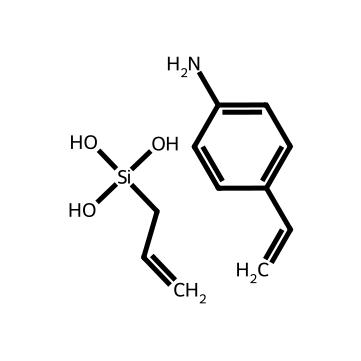 C=CC[Si](O)(O)O.C=Cc1ccc(N)cc1